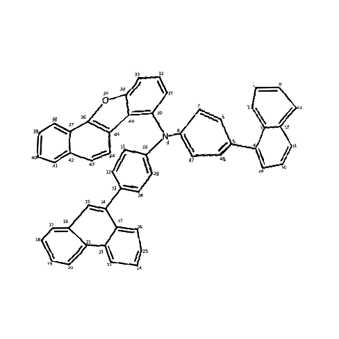 c1ccc2c(-c3ccc(N(c4ccc(-c5cc6ccccc6c6ccccc56)cc4)c4cccc5oc6c7ccccc7ccc6c45)cc3)cccc2c1